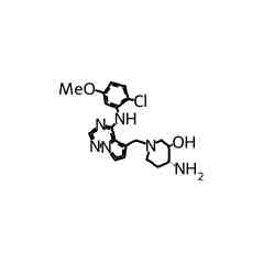 COc1ccc(Cl)c(Nc2ncnn3ccc(CN4CC[C@@H](N)[C@H](O)C4)c23)c1